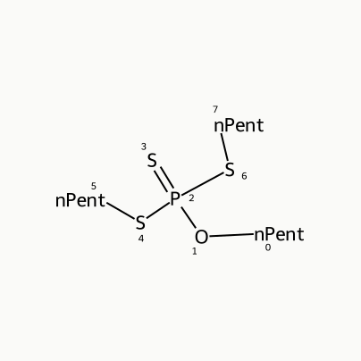 CCCCCOP(=S)(SCCCCC)SCCCCC